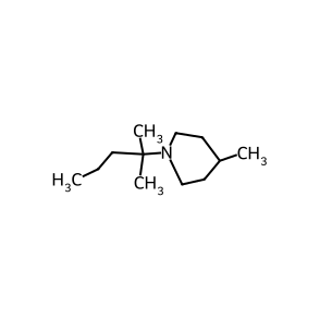 CCCC(C)(C)N1CCC(C)CC1